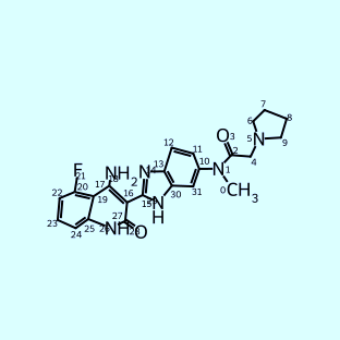 CN(C(=O)CN1CCCC1)c1ccc2nc(-c3c(N)c4c(F)cccc4[nH]c3=O)[nH]c2c1